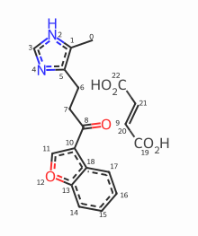 Cc1[nH]cnc1CCC(=O)c1coc2ccccc12.O=C(O)C=CC(=O)O